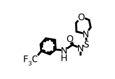 CN(SN1CCOCC1)C(=O)Nc1cccc(C(F)(F)F)c1